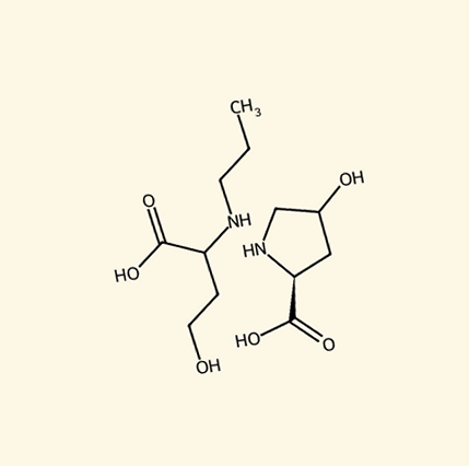 CCCNC(CCO)C(=O)O.O=C(O)[C@@H]1CC(O)CN1